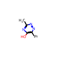 Cc1nnc(C(C)C)c(O)n1